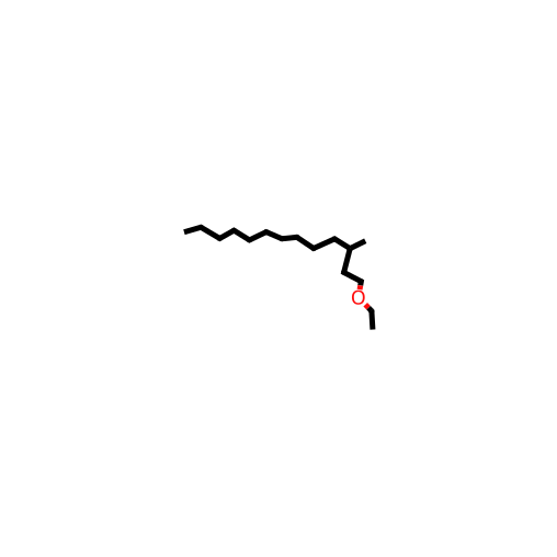 CCCCCCCCCCC(C)CCOCC